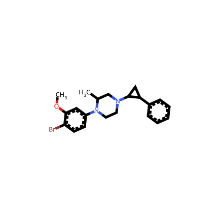 COc1cc(N2CCN(C3CC3c3ccccc3)CC2C)ccc1Br